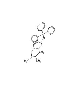 CC(C)C(C)Cc1ccc(OC(c2ccccc2)(c2ccccc2)c2ccccc2)cc1